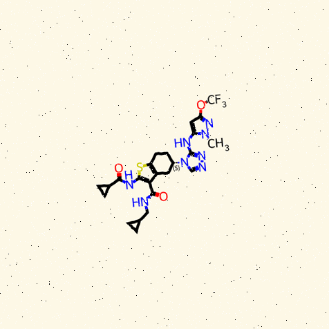 Cn1nc(OC(F)(F)F)cc1Nc1nncn1[C@H]1CCc2sc(NC(=O)C3CC3)c(C(=O)NCC3CC3)c2C1